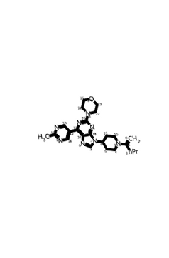 C=C(CCC)N1CCC(n2cnc3c(-c4cnc(C)nc4)nc(N4CCOCC4)nc32)CC1